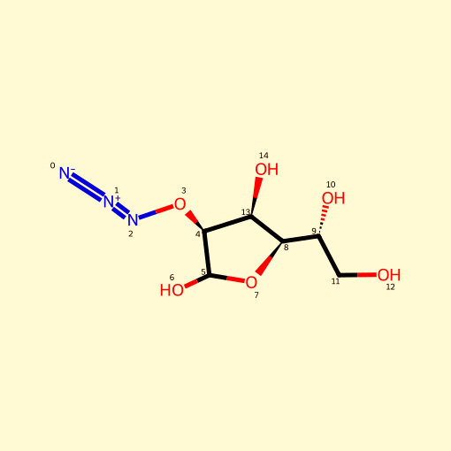 [N-]=[N+]=NO[C@@H]1C(O)O[C@H]([C@H](O)CO)[C@@H]1O